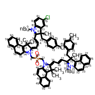 CCCC[N+]1=C(/C=C/C=C2/N(CS(=O)(=O)CN3/C(=C/C=C/C4=[N+](CCCC)c5ccc6ccccc6c5C4(C)Cc4ccc(C)cc4)C(C)(C)c4c3ccc3ccccc43)c3ccc4ccccc4c3C2(C)C)C(C)(Cc2ccc(C)cc2)c2cc(Cl)ccc21